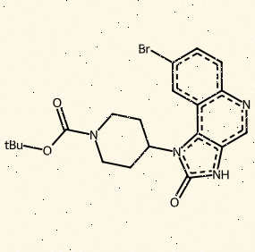 CC(C)(C)OC(=O)N1CCC(n2c(=O)[nH]c3cnc4ccc(Br)cc4c32)CC1